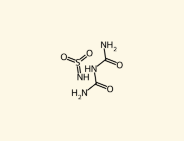 N=S(=O)=O.NC(=O)NC(N)=O